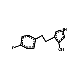 Oc1c[nH]cc1CCc1ccc(F)cc1